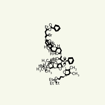 C=C1[C@H](C)C[C@H](CCCO[Si](CC)(CC)CC)O[C@@H]1C[C@@H]1O[C@H](C[C@@H](CO[Si](C)(C)C(C)(C)C)O[Si](C)(C)C(C)(C)C)[C@H](OC)[C@H]1C(C(O)C[C@H]1CC[C@@H]2O[C@@H]3[C@H]4O[C@@H]5C[C@@](C=C(Br)CC(CC)OC(=O)c6ccccc6)(O[C@H]4[C@H]2O1)O[C@H]35)S(=O)(=O)c1ccccc1